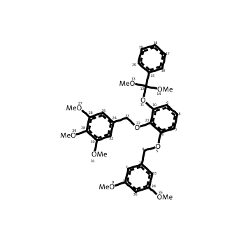 COc1cc(COc2cccc(OC(OC)(OC)c3ccccc3)c2OCc2cc(OC)c(OC)c(OC)c2)cc(OC)c1